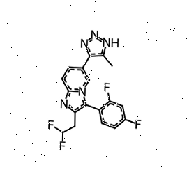 Cc1[nH]nnc1-c1ccc2nc(CC(F)F)c(-c3ccc(F)cc3F)n2c1